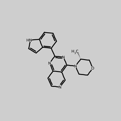 C[C@@H]1COCCN1c1nc(-c2cccc3[nH]ccc23)nc2ccncc12